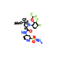 CO[C@]1(C(F)(F)F)C[C@H](C(=O)Nc2ccnc(S(N)(=O)=O)c2)N(c2ccc(F)c(F)c2OC(F)F)C1